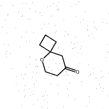 O=C1CCOC2(CCC2)C1